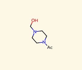 CC(=O)N1CCN(CO)CC1